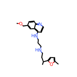 COCc1ccc2nccc(NCCCNCCC(C)c3ccc(C)o3)c2c1